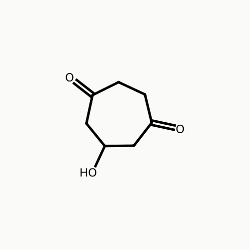 O=C1CCC(=O)CC(O)C1